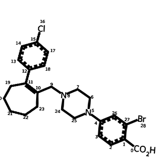 O=C(O)c1ccc(N2CCN(CC3=C(c4ccc(Cl)cc4)CCCCC3)CC2)cc1Br